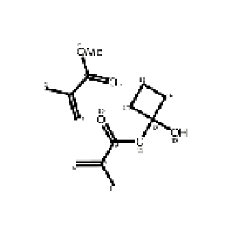 C=C(C)C(=O)OC.C=C(C)C(=O)OC1(O)CCC1